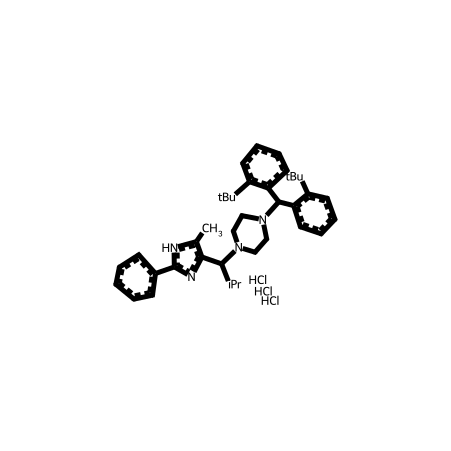 Cc1[nH]c(-c2ccccc2)nc1C(C(C)C)N1CCN(C(c2ccccc2C(C)(C)C)c2ccccc2C(C)(C)C)CC1.Cl.Cl.Cl